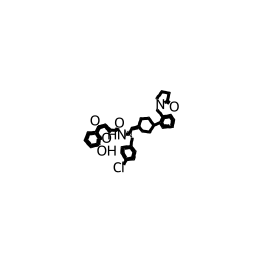 O=C(N[C@H](C=C1CCC(c2ccccc2CN2CCCC2=O)CC1)Cc1ccc(Cl)cc1)c1cc(=O)c2cccc(O)c2o1